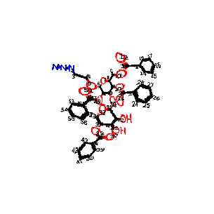 [N-]=[N+]=NCCO[C@@H]1OC(COC(=O)c2ccccc2)[C@@H](OC(=O)c2ccccc2)C(O[C@H]2OC[C@@H](OC(=O)c3ccccc3)C(O)C2O)C1OC(=O)c1ccccc1